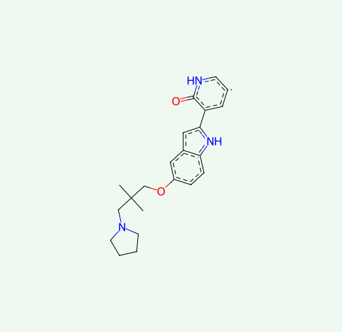 CC(C)(COc1ccc2[nH]c(-c3c[c]c[nH]c3=O)cc2c1)CN1CCCC1